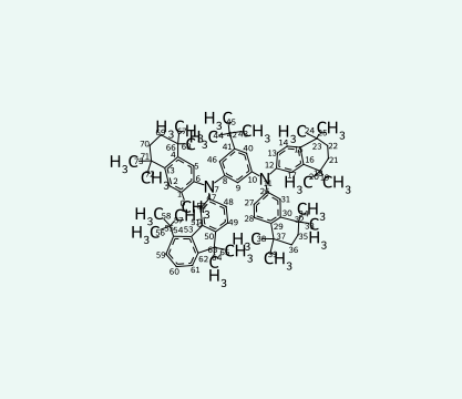 Cc1cc2c(cc1N(c1cc(N(c3ccc4c(c3)C(C)(C)CCC4(C)C)c3ccc4c(c3)C(C)(C)CCC4(C)C)cc(C(C)(C)C)c1)c1ccc3c(c1)-c1c(C(C)(C)C)cccc1C3(C)C)C(C)(C)CCC2(C)C